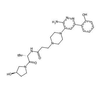 CC(C)(C)[C@H](NC(=O)CCN1CCN(c2cc(-c3ccccc3O)nnc2N)CC1)C(=O)N1CC[C@@H](O)C1